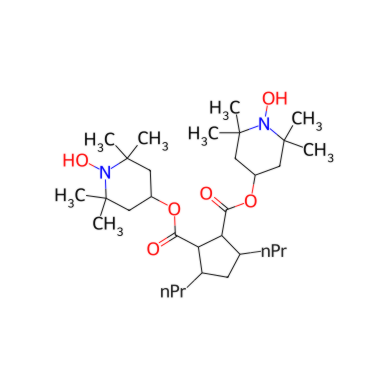 CCCC1CC(CCC)C(C(=O)OC2CC(C)(C)N(O)C(C)(C)C2)C1C(=O)OC1CC(C)(C)N(O)C(C)(C)C1